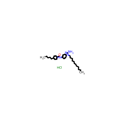 CCCCCCCCCCCCn1c(N)nc2cc(NC(=O)c3ccc(CCCCC)cc3)ccc21.Cl